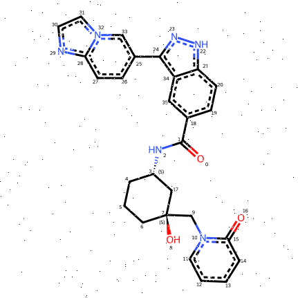 O=C(N[C@H]1CCC[C@@](O)(Cn2ccccc2=O)C1)c1ccc2[nH]nc(-c3ccc4nccn4c3)c2c1